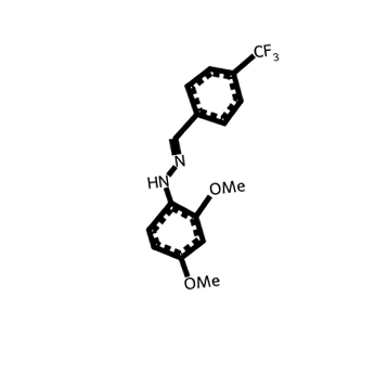 COc1ccc(NN=Cc2ccc(C(F)(F)F)cc2)c(OC)c1